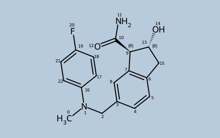 CN(Cc1ccc2c(c1)[C@@H](C(N)=O)[C@H](O)C2)c1ccc(F)cc1